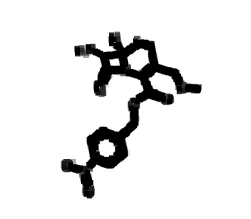 COCC1=C(C(=O)OCc2ccc([N+](=O)[O-])cc2)N2C(=O)[C@@H](N)[C@@H]2SC1